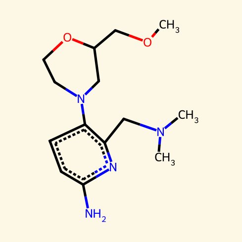 COCC1CN(c2ccc(N)nc2CN(C)C)CCO1